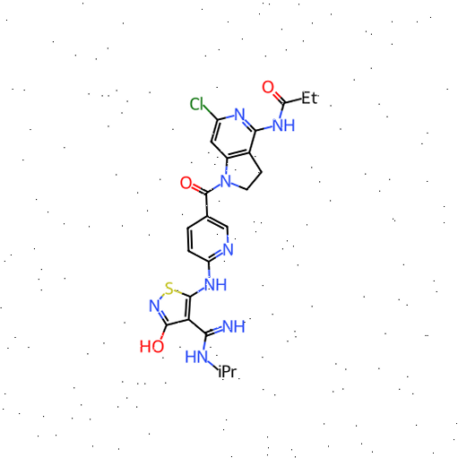 CCC(=O)Nc1nc(Cl)cc2c1CCN2C(=O)c1ccc(Nc2snc(O)c2C(=N)NC(C)C)nc1